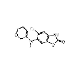 CCc1cc2[nH]c(=O)oc2cc1N(C)C1=CCCOC1